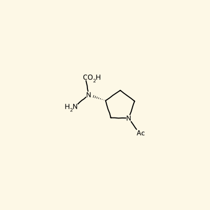 CC(=O)N1CC[C@@H](N(N)C(=O)O)C1